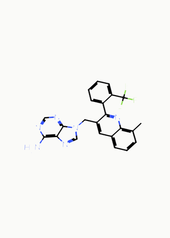 Cc1cccc2cc(Cn3cnc4c(N)ncnc43)c(-c3ccccc3C(F)(F)F)nc12